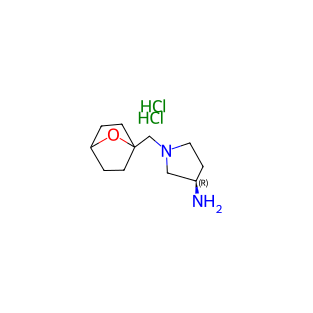 Cl.Cl.N[C@@H]1CCN(CC23CCC(CC2)O3)C1